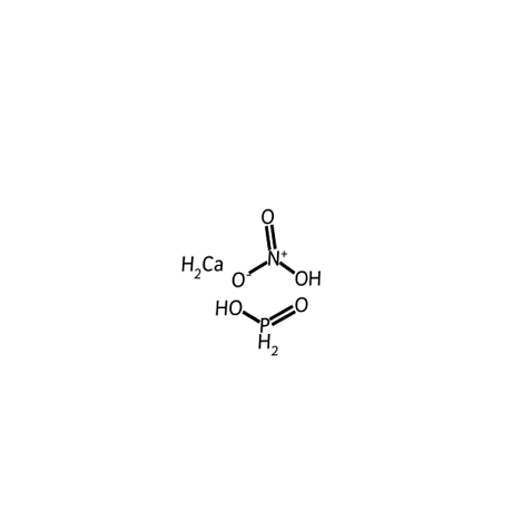 O=[N+]([O-])O.O=[PH2]O.[CaH2]